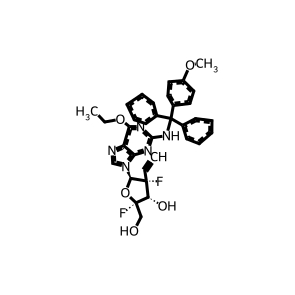 C#C[C@]1(F)[C@H](n2cnc3c(OCC)nc(NC(c4ccccc4)(c4ccccc4)c4ccc(OC)cc4)nc32)O[C@](F)(CO)[C@H]1O